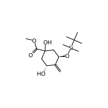 C=C1[C@H](O)CC(O)(C(=O)OC)C[C@H]1O[Si](C)(C)C(C)(C)C